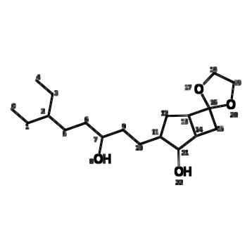 CCC(CC)CCC(O)CCC1CC2C(CC23OCCO3)C1O